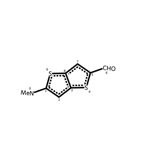 CNc1cc2sc(C=O)cc2s1